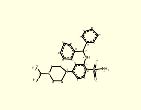 CC(C)N1CCN(c2ccc(S(N)(=O)=O)c(NC(c3ccccc3)c3ccccc3)c2)CC1